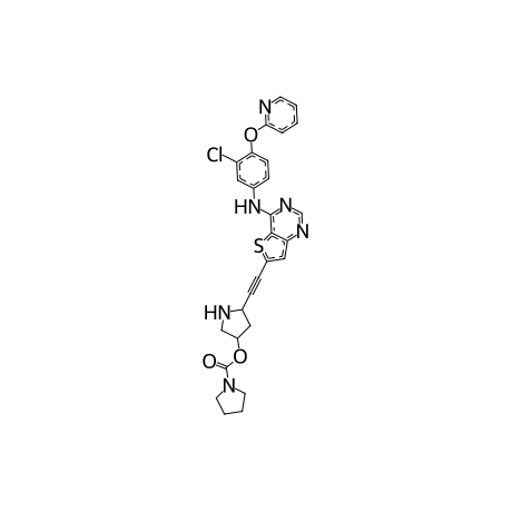 O=C(OC1CNC(C#Cc2cc3ncnc(Nc4ccc(Oc5ccccn5)c(Cl)c4)c3s2)C1)N1CCCC1